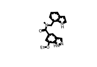 CCOc1cc(C(=O)N(C)Cc2cccc3cc[nH]c23)cc2cn[nH]c12